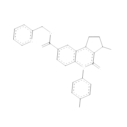 C[C@H](NC(=O)c1ccc2c(c1)c1c(c(=O)n2-c2ccc(C(F)(F)F)cc2)C(F)CC1)c1ccccn1